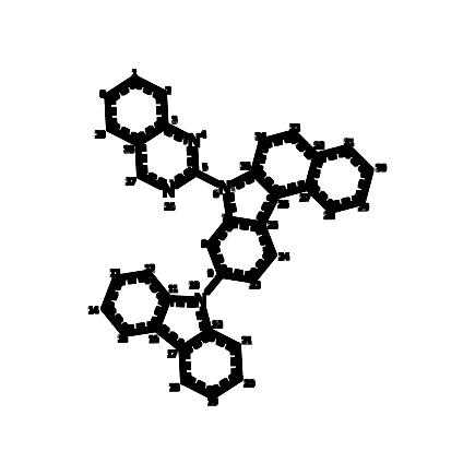 c1ccc2nc(-n3c4cc(-n5c6ccccc6c6ccccc65)ccc4c4c5ccccc5ccc43)ncc2c1